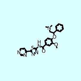 COc1cc(C(=O)Nc2nnc(-c3ccncn3)s2)ccc1OC(CN(C)C)c1ccccc1